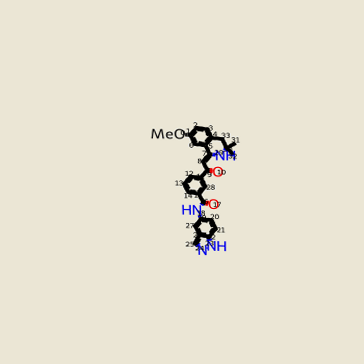 COc1ccc2c(c1)/C(=C/C(=O)c1cccc(C(=O)Nc3ccc4[nH]ncc4c3)c1)NC(C)(C)C2